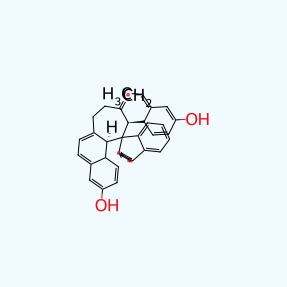 C=C1CCC2=CC=C3C=C(O)C=CC3[C@@H]2C2(c3ccccc3-c3ccccc32)[C@@H]1C1C=CC(O)=C/C1=C/C